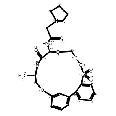 C[C@@H]1COc2cccc(c2)-c2ccccc2S(=O)(=O)CCCC[C@H](NC(=O)CN2CCCC2)C(=O)N1